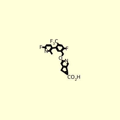 Cc1nc(F)ccc1-c1cc(COc2cc3c(cn2)C2C(C3)C2C(=O)O)c(F)cc1C(F)(F)F